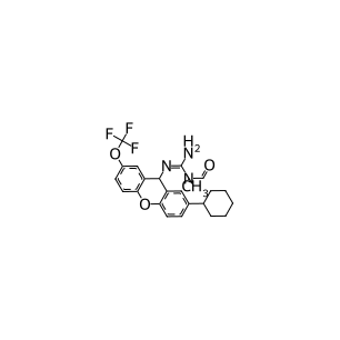 CN(C=O)/C(N)=N\C1c2cc(OC(F)(F)F)ccc2Oc2ccc(C3CCCCC3)cc21